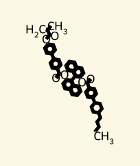 C=C(C)C(=O)Oc1ccc(-c2ccc(C(=O)Oc3ccc4ccccc4c3-c3c(OC(=O)c4ccc(C5CCC(CCCCC)CC5)cc4)ccc4ccccc34)cc2)cc1